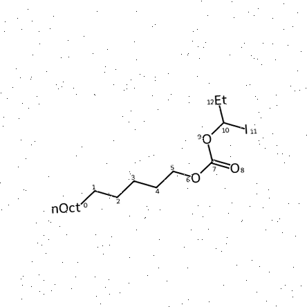 CCCCCCCCCCCCCOC(=O)OC(I)CC